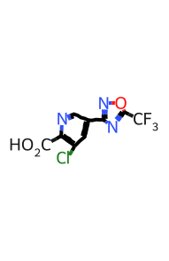 O=C(O)c1ncc(-c2noc(C(F)(F)F)n2)cc1Cl